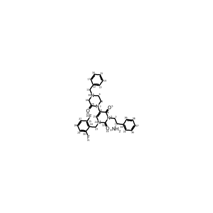 N[C@H](Cn1c(=O)c(N2CCN(Cc3ccccc3)CC2=O)cn(Cc2c(F)cccc2F)c1=O)c1ccccc1